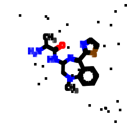 CC(N)C(=O)NC1CN(C)c2ccccc2C(c2nccs2)=N1